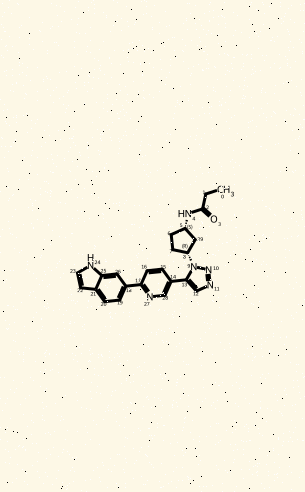 CCC(=O)N[C@H]1CC[C@@H](n2nncc2-c2ccc(-c3ccc4cc[nH]c4c3)nc2)C1